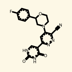 N#Cc1nnc(-c2c[nH]c(=O)[nH]c2=O)cc1N1CCOC(c2ccc(F)cc2)C1